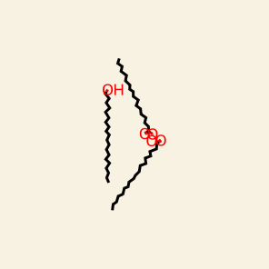 CCCCCCCCCCCCCCCCCC(=O)OOC(=O)CCCCCCCCCCCCCCCCC.CCCCCCCCCCCCCCCCCCCCO